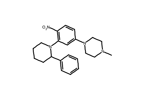 CN1CCN(c2ccc([N+](=O)[O-])c(N3CCCCC3c3ccccc3)c2)CC1